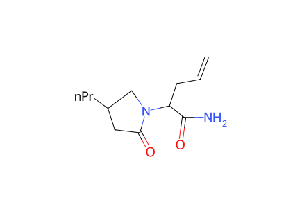 C=CCC(C(N)=O)N1CC(CCC)CC1=O